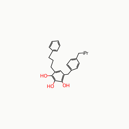 CC(C)Cc1ccc(Cc2cc(CCCc3ccccc3)c(O)c(O)c2O)cc1